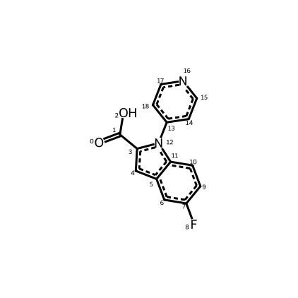 O=C(O)c1cc2cc(F)ccc2n1-c1ccncc1